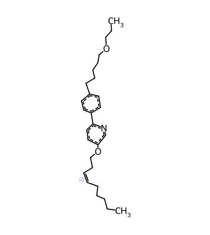 CCCCC/C=C\CCOc1ccc(-c2ccc(CCCCCOCCC)cc2)nc1